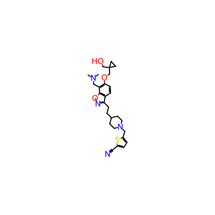 CN(C)Cc1c(OCC2(CO)CC2)ccc2c(CCC3CCN(Cc4ccc(C#N)s4)CC3)noc12